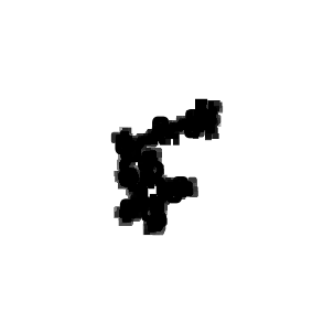 CC(C)(C)OC(=O)CN1CCN(CC(=O)OC(C)(C)C)CCN(CC(=O)OC(C)(C)C)[C@@H](Cc2ccc(CCCP(=O)(CCCCCNC(=O)CCCCC(=O)Oc3c(F)c(F)cc(F)c3F)OC(C)(C)C)cc2)CN(CC(=O)OC(C)(C)C)CC1